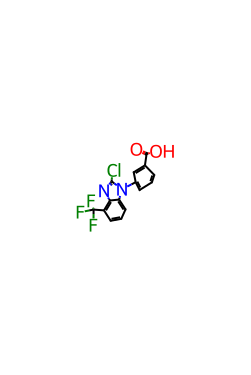 O=C(O)c1cccc(-n2c(Cl)nc3c(C(F)(F)F)cccc32)c1